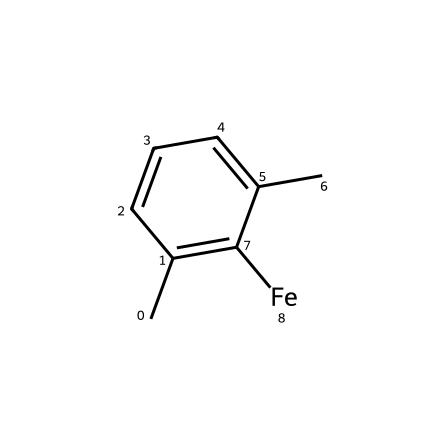 Cc1cccc(C)[c]1[Fe]